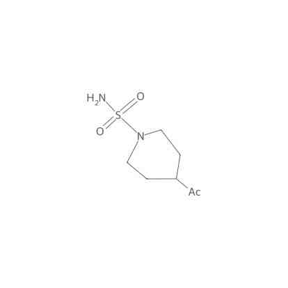 CC(=O)C1CCN(S(N)(=O)=O)CC1